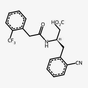 N#Cc1ccccc1C[C@H](CC(=O)O)NC(=O)Cc1ccccc1C(F)(F)F